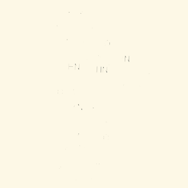 O=C(Nc1ccccn1)[C@H](NCC(=O)N1CCC2(CC1)OCc1ccccc12)c1ccccc1